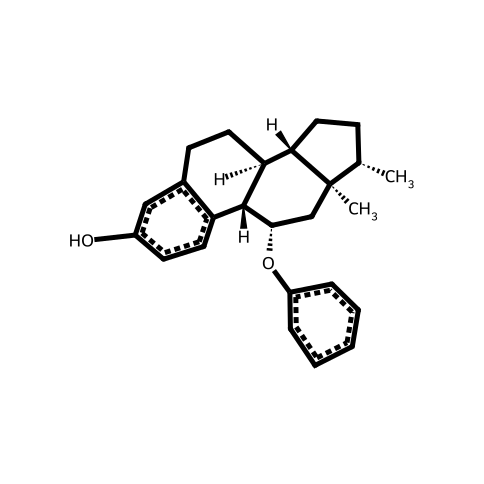 C[C@H]1CC[C@H]2[C@@H]3CCc4cc(O)ccc4[C@H]3[C@@H](Oc3ccccc3)C[C@]12C